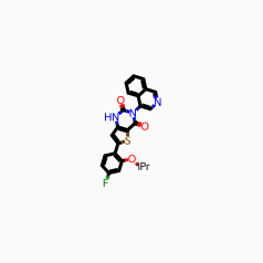 CC(C)Oc1cc(F)ccc1-c1cc2[nH]c(=O)n(-c3cncc4ccccc34)c(=O)c2s1